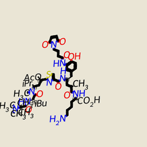 CC[C@H](C)[C@H](NC(=O)C(C)(C)N(C)C)C(=O)N(C)[C@H](C[C@@H](OC(C)=O)c1nc(C(=O)N[C@@H](Cc2ccc(O)c(NC(=O)CCCN3C(=O)C=CC3=O)c2)CC(C)C(=O)N[C@@H](CCCCN)C(=O)O)cs1)C(C)C